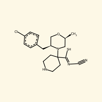 C[C@H]1CN(C2(C(S)=NC#N)CCNCC2)[C@@H](Cc2ccc(Cl)cc2)CO1